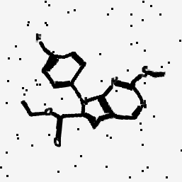 CCOC(=O)c1cc2cnc(SC)nc2n1-c1ccc(F)cc1